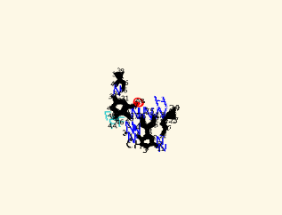 Cn1cnnc1-c1ccc(C#N)cc1-c1cc(NC2(CCC#N)CC2)nc(N2Cc3c(cc(CN4CCC5(CC5)C4)cc3C(F)(F)F)C2=O)c1